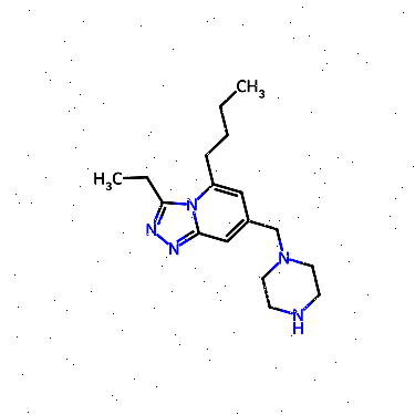 CCCCc1cc(CN2CCNCC2)cc2nnc(CC)n12